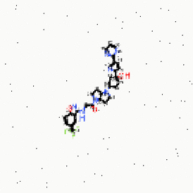 O=C(CNc1noc2ccc(C(F)(F)F)cc12)N1CCC2C1CCN2C1CCC(O)(c2ccc(-c3ncccn3)cn2)CC1